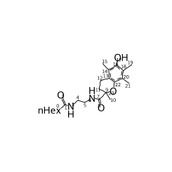 CCCCCCC(=O)NCCNC(=O)C1(C)CCc2c(C)c(O)c(C)c(C)c2O1